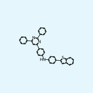 c1ccc(-c2cc(-c3ccc(Nc4ccc(-c5cc6ccccc6s5)cc4)cc3)nc(-c3ccccc3)n2)cc1